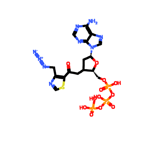 [N-]=[N+]=NCc1ncsc1C(=O)CC1C[C@H](n2cnc3c(N)ncnc32)O[C@@H]1COP(=O)(O)OP(=O)(O)OP(=O)(O)O